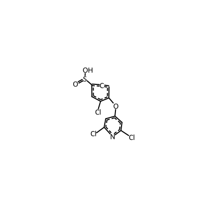 O=S(O)c1ccc(Oc2cc(Cl)nc(Cl)c2)c(Cl)c1